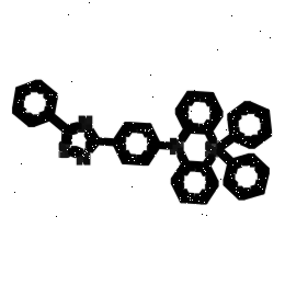 c1ccc(-c2nc(-c3ccc(N4c5ccccc5[Si](c5ccccc5)(c5ccccc5)c5ccccc54)cc3)ns2)cc1